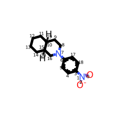 O=[N+]([O-])c1ccc(N2CC[C@H]3CCCC[C@H]3C2)cc1